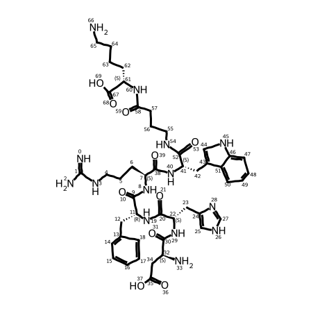 N=C(N)NCCC[C@H](NC(=O)[C@@H](Cc1ccccc1)NC(=O)[C@H](Cc1c[nH]cn1)NC(=O)[C@@H](N)CC(=O)O)C(=O)N[C@@H](Cc1c[nH]c2ccccc12)C(=O)NCCCC(=O)N[C@@H](CCCCN)C(=O)O